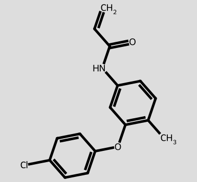 C=CC(=O)Nc1ccc(C)c(Oc2ccc(Cl)cc2)c1